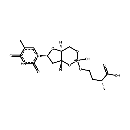 Cc1cn([C@@H]2C[C@H]3O[PH](O)(OCC[C@@H](C)C(=O)O)OC[C@@H]3O2)c(=O)[nH]c1=O